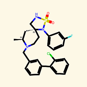 C[C@H]1C[C@]2(CCN1Cc1cccc(-c3ccccc3Cl)c1)CNS(=O)(=O)N2c1cccc(F)c1